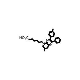 Cc1ccc(-c2nc3c(nc2-c2ccccc2)CC(C)CN3CCCCCCC(=O)O)cc1